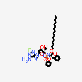 C#C[C@]1(CO[P@@](=O)(N[C@@H](Cc2ccccc2)C(=O)OCCCCCCCCCCCCCCCC)Oc2ccccc2)O[C@@H](n2cnc3c(N)nc(F)nc32)C[C@@H]1O